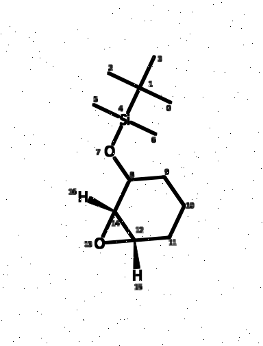 CC(C)(C)[Si](C)(C)OC1CCC[C@@H]2O[C@H]12